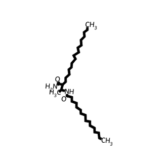 CCCCCCCCCCCCCCCCC(C(N)=O)C(C)NC(=O)CCCCCCCCCCCCCCC